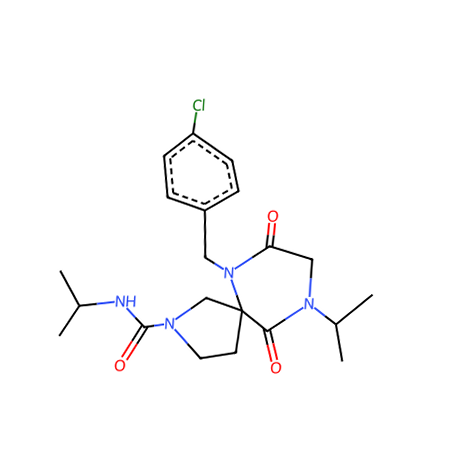 CC(C)NC(=O)N1CCC2(C1)C(=O)N(C(C)C)CC(=O)N2Cc1ccc(Cl)cc1